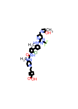 Cc1c(Nc2nc(C(F)F)nc3cc(CN4CC[C@@](C)(O)C4)cnc23)cccc1-c1cccc(NC(=O)c2nc3c(n2C)CCN(CCC24CCC(C(=O)O)(CC2)C4)C3)c1Cl